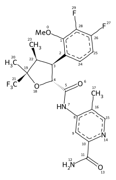 COc1c([C@H]2[C@H](C(=O)Nc3cc(C(N)=O)ncc3C)O[C@@](C)(C(F)(F)F)[C@H]2C)ccc(F)c1F